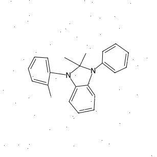 Cc1ccccc1N1c2ccccc2N(c2ccccc2)C1(C)C